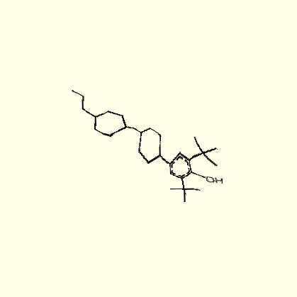 CCCC1CCC(C2CCC(c3cc(C(C)(C)C)c(O)c(C(C)(C)C)c3)CC2)CC1